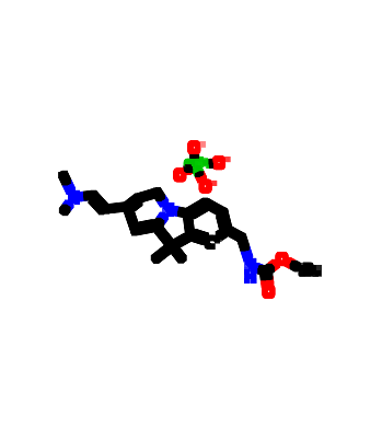 CN(C)C=CC1=CCN2C3=CC=C(CNC(=O)OC(C)(C)C)[C+]=C3C(C)(C)C2=C1.[O-][Cl+3]([O-])([O-])[O-]